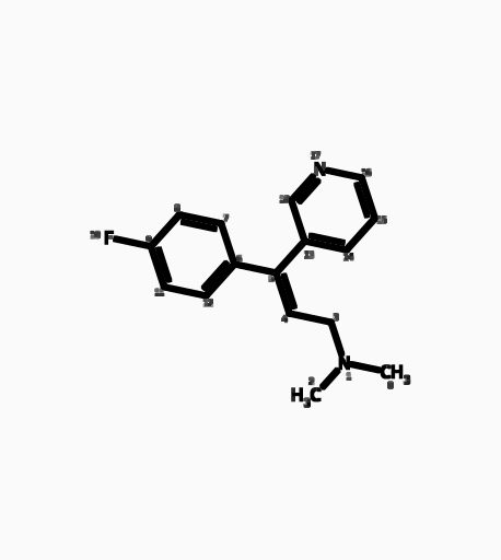 CN(C)CC=C(c1ccc(F)cc1)c1cccnc1